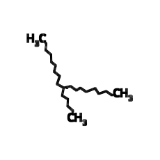 CCCCCCCCC[C](CCCCC)CCCCCCCCC